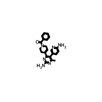 Cc1nc(N)nc(C2=CCN(C(=O)c3ccccc3)CC2)c1-c1ccc(N)nc1